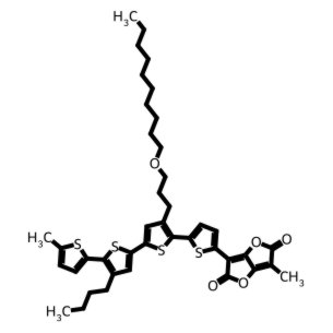 CCCCCCCCCCOCCCc1cc(-c2cc(CCCC)c(-c3ccc(C)s3)s2)sc1-c1ccc(C2=C3OC(=O)C(C)=C3OC2=O)s1